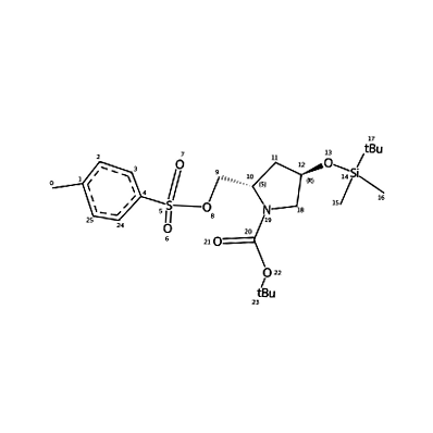 Cc1ccc(S(=O)(=O)OC[C@@H]2C[C@@H](O[Si](C)(C)C(C)(C)C)CN2C(=O)OC(C)(C)C)cc1